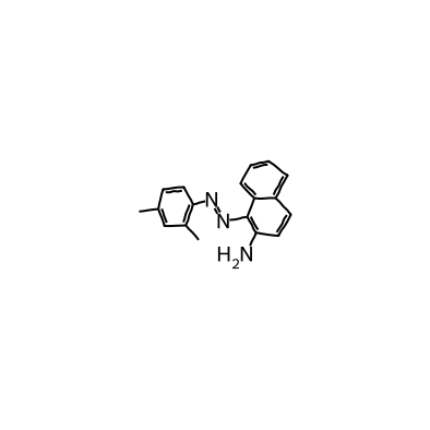 Cc1ccc(N=Nc2c(N)ccc3ccccc23)c(C)c1